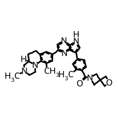 Cc1cc(-c2c[nH]c3ncc(-c4cc(C)c5c(c4)CC[C@H]4CN(C)CCN54)nc23)ccc1C(=O)N1CC2(COC2)C1